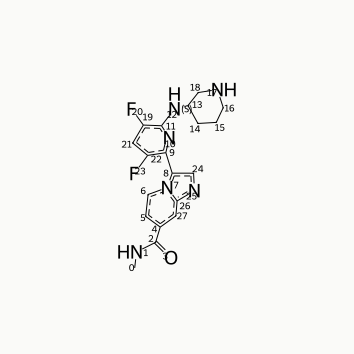 CNC(=O)c1ccn2c(-c3nc(N[C@H]4CCCNC4)c(F)cc3F)cnc2c1